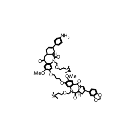 COc1cc2c(cc1OCCCOc1cc3c(cc1OC)C(=O)N1C=C(c4ccc5c(c4)OCO5)C[C@H]1C(=O)N3COCC[Si](C)(C)C)N(COCC[Si](C)(C)C)C(=O)[C@@H]1CC(c3ccc(N)cc3)=CCC1CC2=O